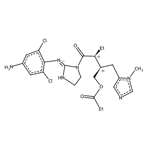 CCC(=O)OC[C@H](Cc1cncn1C)[C@H](CC)C(=O)N1CCN/C1=N\c1c(Cl)cc(N)cc1Cl